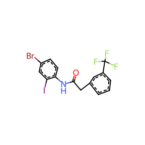 O=C(Cc1cccc(C(F)(F)F)c1)Nc1ccc(Br)cc1I